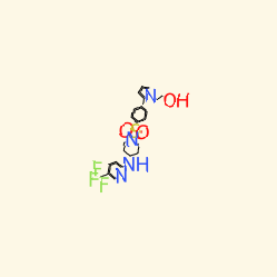 O=S(=O)(c1ccc(-c2cccn2CCO)cc1)N1CCC(Nc2ccc(C(F)(F)F)cn2)CC1